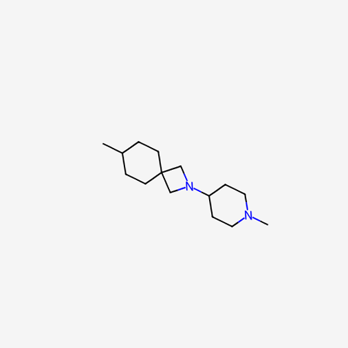 CC1CCC2(CC1)CN(C1CCN(C)CC1)C2